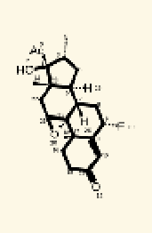 CC(=O)[C@@]1(O)[C@H](C)C[C@H]2[C@@H]3C[C@H](F)C4=CC(=O)CC[C@]4(C)[C@]34OC4C[C@@]21C